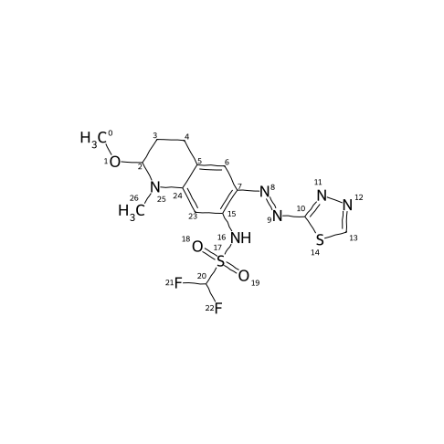 COC1CCc2cc(N=Nc3nncs3)c(NS(=O)(=O)C(F)F)cc2N1C